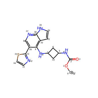 CC(C)(C)OC(=O)NC1CC(Nc2c(-c3nccs3)cnc3[nH]ccc23)C1